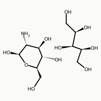 N[C@@H]1[C@@H](O)[C@H](O)[C@@H](CO)O[C@H]1O.OC[C@@H](O)[C@H](O)[C@@H](O)CO